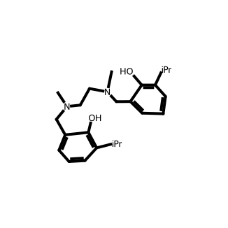 CC(C)c1cccc(CN(C)CCN(C)Cc2cccc(C(C)C)c2O)c1O